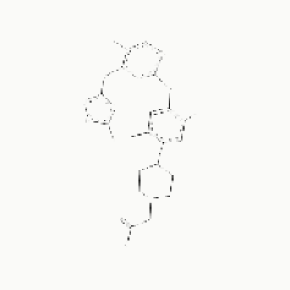 Cc1cc(C2CCN(CC(N)=O)CC2)c(C)cc1Nc1ncc(Cl)c(Nc2cc(C(F)(F)F)[nH]n2)n1